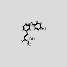 CC(=O)N(O)C(C)/C=C/c1cccc(Oc2ccc(Cl)cc2)c1